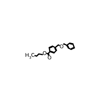 CCCCOC(=O)c1ccc(COCc2ccccc2)cc1